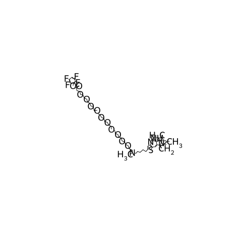 C=C(C1=Cc2sc(CCCCCN(C)CCOCCOCCOCCOCCOCCOCCOCCOCCOCCOCCC(=O)Oc3c(F)c(F)cc(F)c3F)cc2N=C(N)C1)N(CCC)CCC